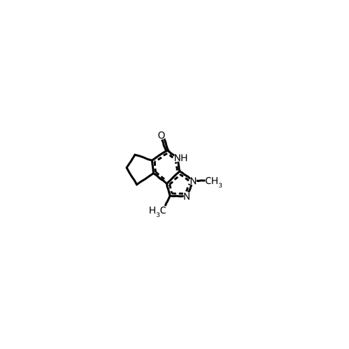 Cc1nn(C)c2[nH]c(=O)c3c(c12)CCC3